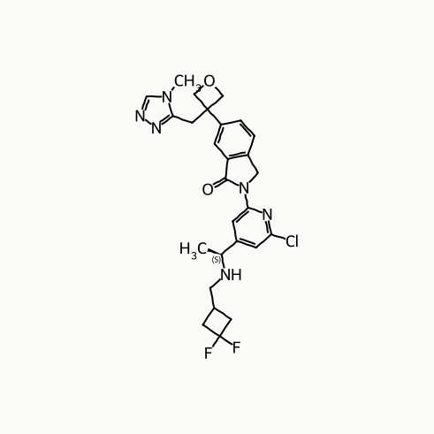 C[C@H](NCC1CC(F)(F)C1)c1cc(Cl)nc(N2Cc3ccc(C4(Cc5nncn5C)COC4)cc3C2=O)c1